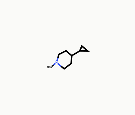 CC(C)(C)N1CCC(C2CC2)CC1